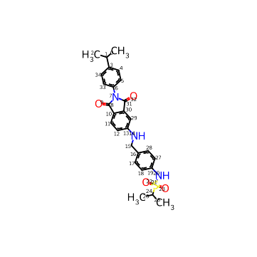 CC(C)c1ccc(N2C(=O)c3ccc(NCc4ccc(NS(=O)(=O)C(C)C)cc4)cc3C2=O)cc1